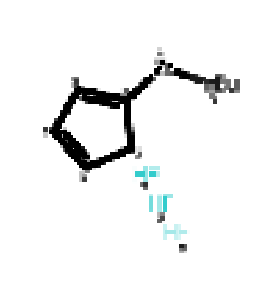 CCC[CH2][Zr][C]1=CC=CC1.F.F.F